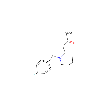 CNC(=O)CC1CCCCN1Cc1ccc(F)cc1